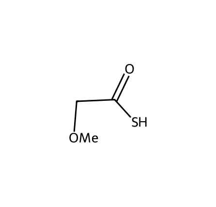 COCC(=O)S